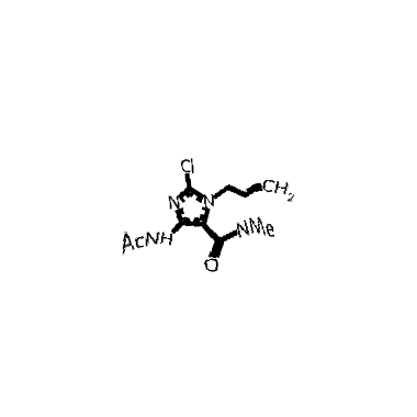 C=CCn1c(Cl)nc(NC(C)=O)c1C(=O)NC